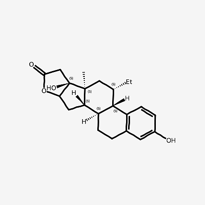 CC[C@H]1C[C@@]2(C)[C@@H](CC3OC(=O)C[C@@]32O)[C@@H]2CCc3cc(O)ccc3[C@@H]12